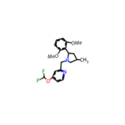 COc1cccc(OC)c1C1CC(C)CN1Cc1cc(OC(F)F)ccn1